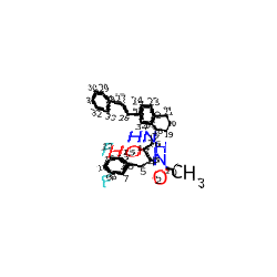 CC(=O)N[C@@H](Cc1cc(F)cc(F)c1)[C@H](O)CN[C@H]1CCCc2ccc(C=Cc3ccccc3)cc21